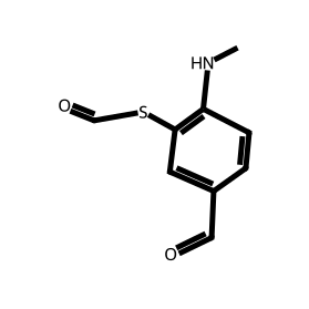 CNc1ccc(C=O)cc1SC=O